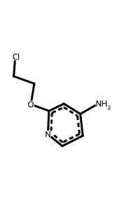 Nc1ccnc(OCCCl)c1